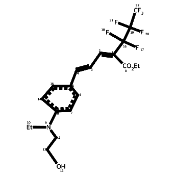 CCOC(=O)/C(=C\C=C\c1ccc(N(CC)CCO)cc1)C(F)(F)C(F)(F)C(F)(F)F